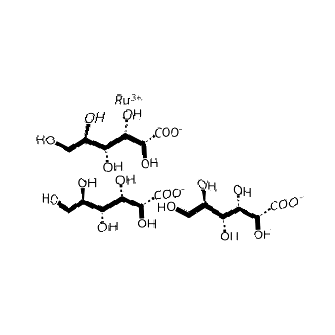 O=C([O-])[C@H](O)[C@@H](O)[C@H](O)[C@H](O)CO.O=C([O-])[C@H](O)[C@@H](O)[C@H](O)[C@H](O)CO.O=C([O-])[C@H](O)[C@@H](O)[C@H](O)[C@H](O)CO.[Ru+3]